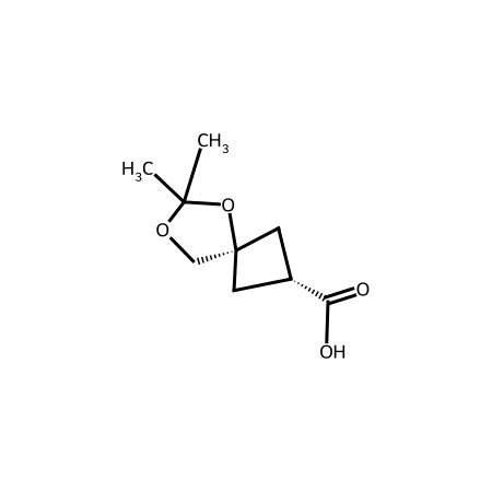 CC1(C)OC[C@]2(C[C@@H](C(=O)O)C2)O1